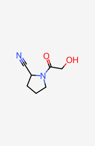 N#CC1CCCN1C(=O)CO